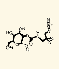 [N-]=[N+]=NCC1(CNC(=O)OC2C(O)[C@H](O)C(CO)O[C@H]2O)N=N1